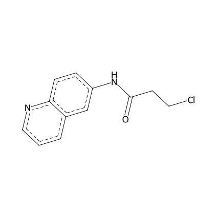 O=C(CCCl)Nc1ccc2ncccc2c1